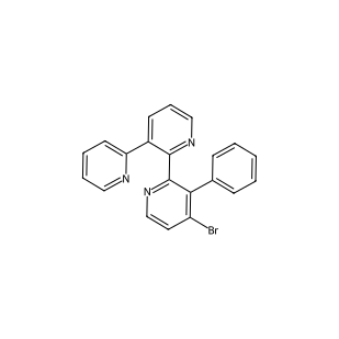 Brc1ccnc(-c2ncccc2-c2ccccn2)c1-c1ccccc1